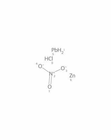 Cl.O=[N+]([O-])[O-].[PbH2].[Zn]